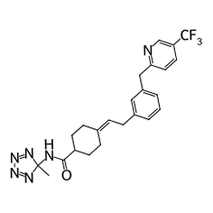 CC1(NC(=O)C2CCC(=CCc3cccc(Cc4ccc(C(F)(F)F)cn4)c3)CC2)N=NN=N1